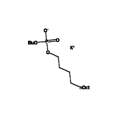 CCCCCCCCCCCCOP(=O)([O-])OCC(C)C.[K+]